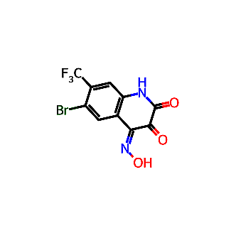 O=C1Nc2cc(C(F)(F)F)c(Br)cc2C(=NO)C1=O